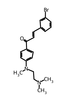 CN(C)CCN(C)c1ccc(C(=O)C=Cc2cccc(Br)c2)cc1